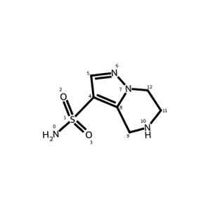 NS(=O)(=O)c1cnn2c1CNCC2